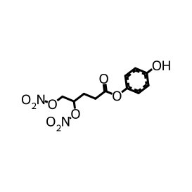 O=C(CCC(CO[N+](=O)[O-])O[N+](=O)[O-])Oc1ccc(O)cc1